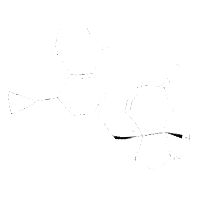 COc1cc(C[C@@]23C=CC(=O)C[C@@H]2NCC3)cc(C2CC2)c1OC